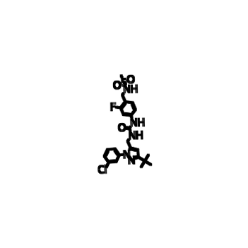 CC(C)(C)c1cc(CNC(=O)Nc2ccc(CNS(C)(=O)=O)c(F)c2)n(-c2cccc(Cl)c2)n1